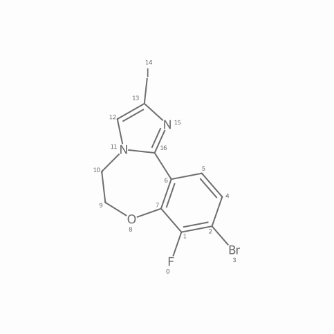 Fc1c(Br)ccc2c1OCCn1cc(I)nc1-2